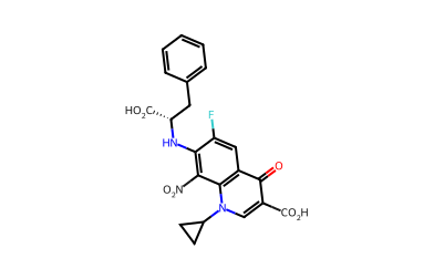 O=C(O)c1cn(C2CC2)c2c([N+](=O)[O-])c(N[C@@H](Cc3ccccc3)C(=O)O)c(F)cc2c1=O